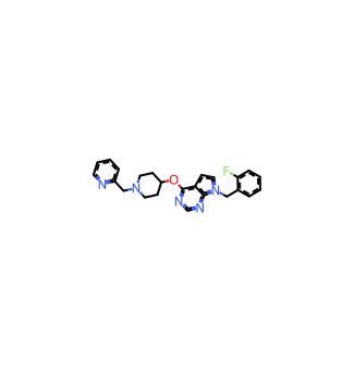 Fc1ccccc1Cn1ccc2c(OC3CCN(Cc4ccccn4)CC3)ncnc21